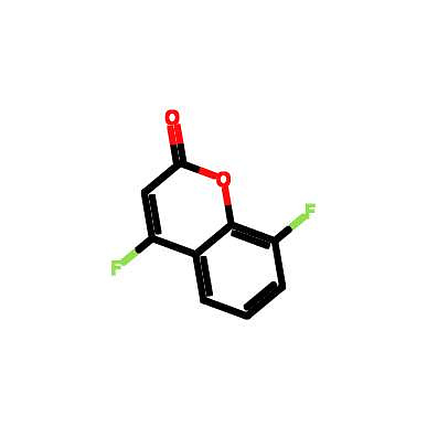 O=c1cc(F)c2cccc(F)c2o1